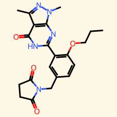 CCCOc1ccc(CN2C(=O)CCC2=O)cc1-c1nc2c(c(C)nn2C)c(=O)[nH]1